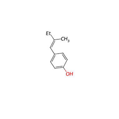 CCC(C)=Cc1ccc(O)cc1